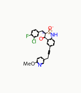 COc1ccc(CC#Cc2ccc3c(c2)C(=O)/C(=C\c2ccc(F)c(Cl)c2)[S+]([O-])N3)cn1